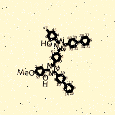 COc1ccc(-c2nc(-c3ccc(-c4ccccc4)cc3)nc(-c3ccc(-c4nc(-c5ccc(-c6ccccc6)cc5)nc(-c5ccc(C)cc5O)n4)cc3)n2)c(O)c1